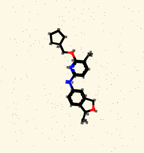 [C-]#[N+]c1ccc(Nc2ccc3c(c2)COB3C)nc1OCC1CCCC1